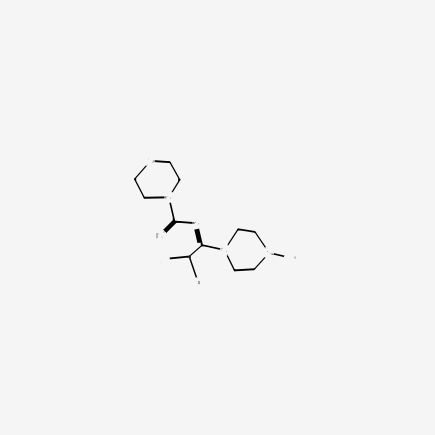 CCC(C)C(C)/C(=N\C(=N)N1CCNCC1)N1CCN(C(C)(C)C)CC1